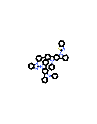 c1ccc(-n2c3cc(-c4cccc(-n5c(-n6c7ccccc7c7cc8c(cc76)c6ccccc6n8-c6ccccc6)nc6ccccc65)c4)ccc3c3cc4c(cc32)c2ccccc2n4-c2nc3ccccc3s2)cc1